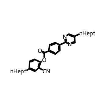 CCCCCCCc1cnc(-c2ccc(C(=O)Oc3ccc(CCCCCCC)cc3C#N)cc2)nc1